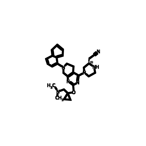 CN(C)CC1(Oc2nc3c(c(N4CCN[C@@H](CC#N)C4)n2)CCN(c2cccc4ccccc24)C3)CC1